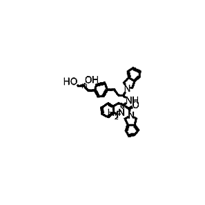 N[C@](Cc1ccccc1F)(NC(CCc1ccc(C[C@@H](O)CO)cc1)N1Cc2ccccc2C1)C(=O)N1Cc2ccccc2C1